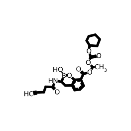 C#CCCC(=O)NC1Cc2cccc(C(=O)OC(C)OC(=O)OC3CCCCC3)c2OB1O